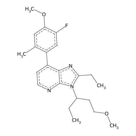 CCc1nc2c(-c3cc(F)c(OC)cc3C)ccnc2n1C(CC)CCOC